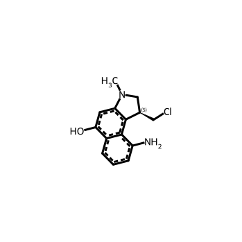 CN1C[C@@H](CCl)c2c1cc(O)c1cccc(N)c21